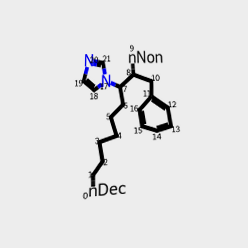 CCCCCCCCCCCCCCCCC(C(CCCCCCCCC)Cc1ccccc1)n1ccnc1